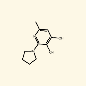 Cc1cc(O)c(C#N)c(N2CCCC2)n1